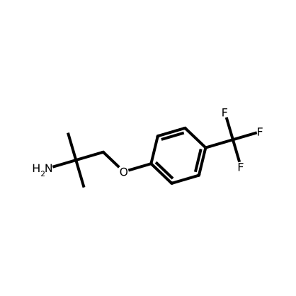 CC(C)(N)COc1ccc(C(F)(F)F)cc1